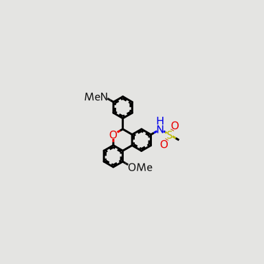 CNc1cccc(C2Oc3cccc(OC)c3-c3ccc(NS(C)(=O)=O)cc32)c1